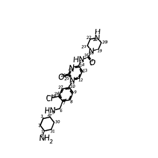 N[C@H]1CC[C@H](NCc2ccc(-n3ccc(NC(=O)N4CCNCC4)nc3=O)cc2Cl)CC1